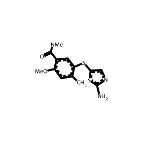 CNC(=O)c1cc(Sc2cnc(N)s2)c(C)cc1OC